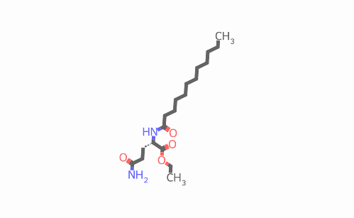 CCCCCCCCCCCC(=O)N[C@@H](CCC(N)=O)C(=O)OCC